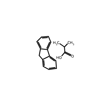 CC(C)C(=O)O.c1ccc2c(c1)Cc1ccccc1-2